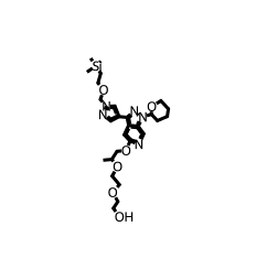 CC(COc1cc2c(-c3cnn(COCC[Si](C)(C)C)c3)nn(C3CCCCO3)c2cn1)OCCOCCO